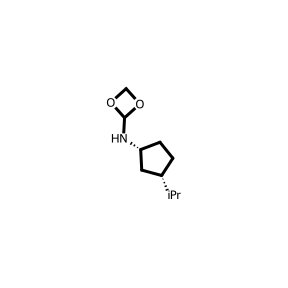 CC(C)[C@H]1CC[C@@H](NC2OCO2)C1